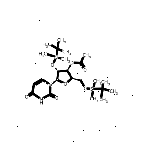 CC(=O)O[C@@H]1[C@@H](O[Si](C)(C)C(C)(C)C)[C@H](n2ccc(=O)[nH]c2=O)O[C@@H]1CO[Si](C)(C)C(C)(C)C